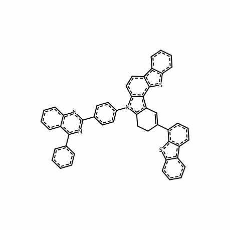 C1=C(c2cccc3c2sc2ccccc23)CCc2c1c1c3sc4ccccc4c3ccc1n2-c1ccc(-c2nc(-c3ccccc3)c3ccccc3n2)cc1